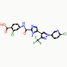 Cn1c(-c2cn(-c3ccc(Cl)nc3)nc2C(F)(F)F)cnc1C(=O)Nc1ccc(C(=O)O)c(Cl)c1